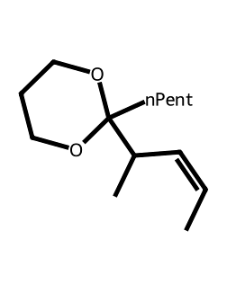 C/C=C\C(C)C1(CCCCC)OCCCO1